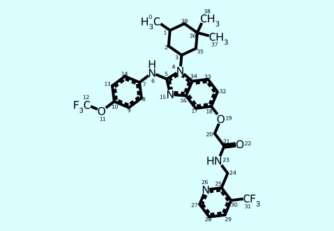 CC1CC(n2c(Nc3ccc(OC(F)(F)F)cc3)nc3cc(OCC(=O)NCc4ncccc4C(F)(F)F)ccc32)CC(C)(C)C1